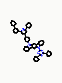 c1ccc(-c2cccc(-c3cc(-c4ccc(-n5c6ccccc6c6cc7c(cc65)c5ccccc5n7-c5nc(-c6ccccc6)nc(-c6ccccc6)n5)cc4)cc(-c4ccccc4)n3)c2)cc1